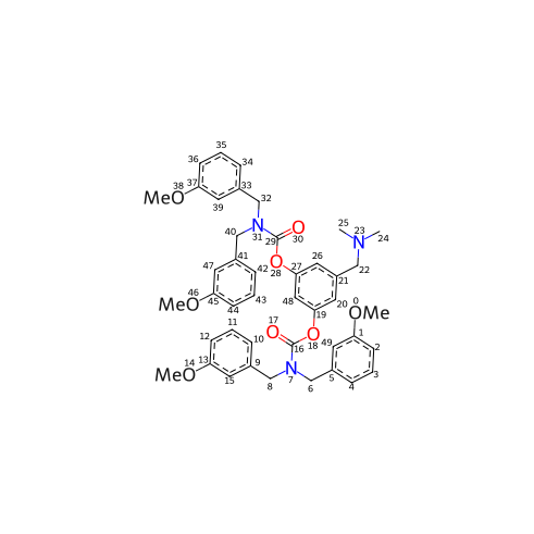 COc1cccc(CN(Cc2cccc(OC)c2)C(=O)Oc2cc(CN(C)C)cc(OC(=O)N(Cc3cccc(OC)c3)Cc3cccc(OC)c3)c2)c1